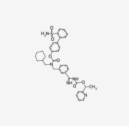 CC(OC(=O)NC(=N)c1cccc(CN(CC2CCCCC2)C(=O)Oc2ccc(-c3ccccc3S(N)(=O)=O)cc2)c1)c1ccccn1